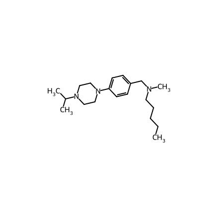 CCCCCN(C)Cc1ccc(N2CCN(C(C)C)CC2)cc1